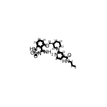 CCCNC(=O)c1ccnc(N2CCC[C@H](COc3cccc4c3C(N)=NS(=O)(=O)N4)C2)c1